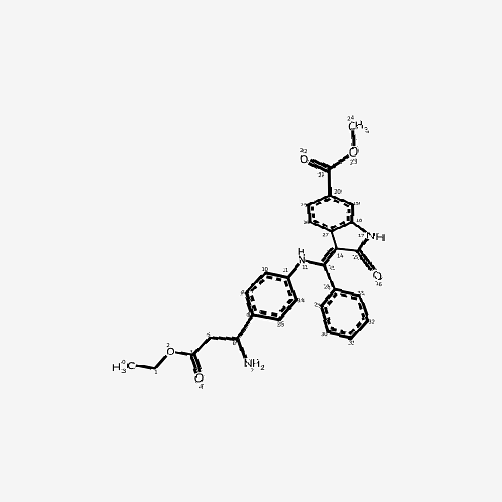 CCOC(=O)CC(N)c1ccc(NC(=C2C(=O)Nc3cc(C(=O)OC)ccc32)c2ccccc2)cc1